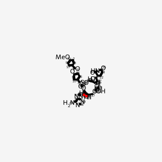 COc1ccc(C(=O)Oc2ccc(CS[P@@]3(=O)OC[C@H]4O[C@@H](C5C=CC(=O)NC5=O)[C@H](F)[C@@H]4OP(=O)(O)OC[C@H]4O[C@@H](n5cnc6c(N)ncnc65)[C@H](O3)[C@@H]4F)cc2)cc1